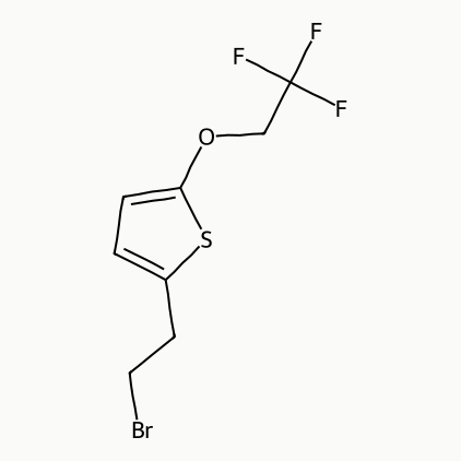 FC(F)(F)COc1ccc(CCBr)s1